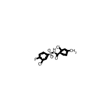 Cc1ccc(C(=O)NS(=O)(=O)c2ccc(F)c(Cl)c2)c(Cl)c1